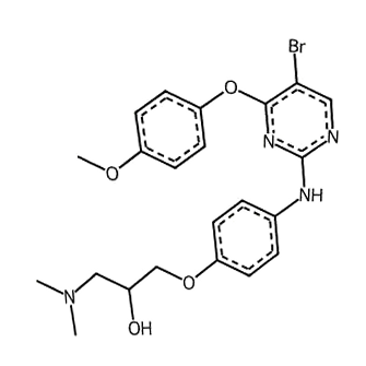 COc1ccc(Oc2nc(Nc3ccc(OCC(O)CN(C)C)cc3)ncc2Br)cc1